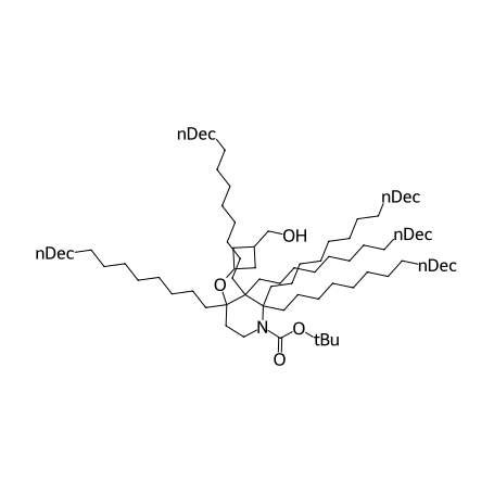 CCCCCCCCCCCCCCCCCCC1(OC2CC(CO)C2)CCN(C(=O)OC(C)(C)C)C(CCCCCCCCCCCCCCCCCC)(CCCCCCCCCCCCCCCCCC)C1(CCCCCCCCCCCCCCCCCC)CCCCCCCCCCCCCCCCCC